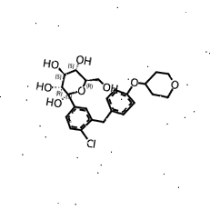 OC[C@H]1O[C@@](O)(c2ccc(Cl)c(Cc3ccc(OC4CCOCC4)cc3)c2)[C@H](O)[C@@H](O)[C@@H]1O